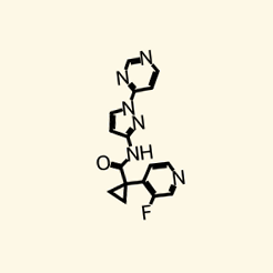 O=C(Nc1ccn(-c2ccncn2)n1)C1(c2ccncc2F)CC1